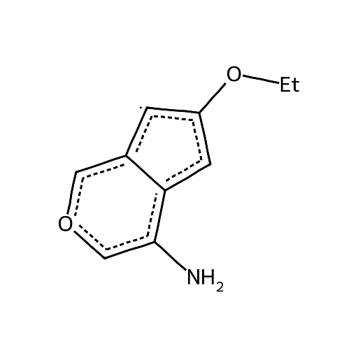 CCOc1[c]c2cocc(N)c-2c1